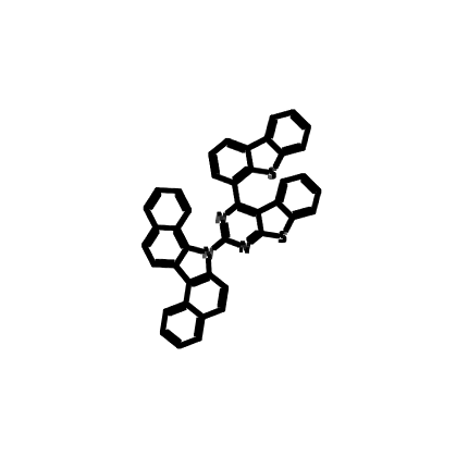 c1ccc2c(c1)ccc1c2c2ccc3ccccc3c2n1-c1nc(-c2cccc3c2sc2ccccc23)c2c(n1)sc1ccccc12